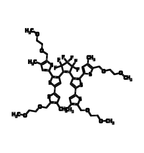 COCCOCc1sc(-c2cc(C3=C(c4cc(-c5cc(C)c(COCCOC)s5)sc4-c4cc(C)c(COCCOC)s4)C(F)(F)C(F)(F)C3(F)F)c(-c3cc(C)c(COCCOC)s3)s2)cc1C